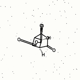 O=C1OC(=O)[C@H]2C3C(=O)OC(=O)[C@@H]2C13